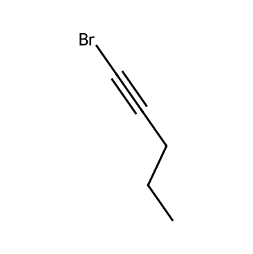 CCCC#CBr